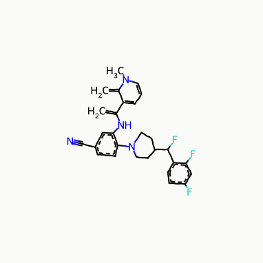 C=C(Nc1cc(C#N)ccc1N1CCC(C(F)c2ccc(F)cc2F)CC1)C1=CC=CN(C)C1=C